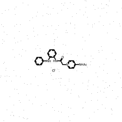 CC(=O)Nc1cc[n+](CC(=O)Nc2ccccc2Nc2ccccc2)cc1.[Cl-]